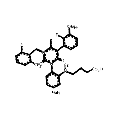 CCN(CCCC(=O)O)c1ccccc1-n1c(=O)c(-c2cccc(OC)c2F)c(C)n(Cc2c(F)cccc2C(F)(F)F)c1=O.[NaH]